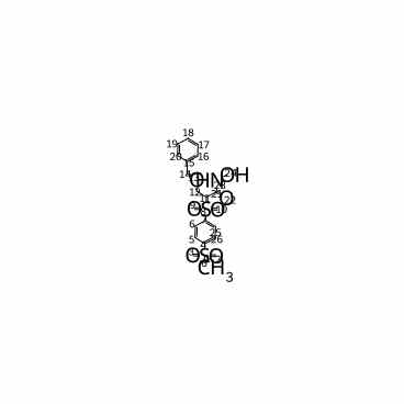 CS(=O)(=O)c1ccc(S(=O)(=O)C(COCc2ccccc2)C(=O)NO)cc1